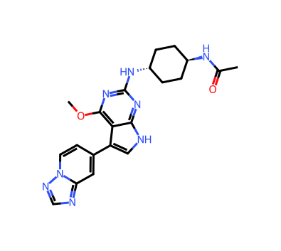 COc1nc(N[C@H]2CC[C@H](NC(C)=O)CC2)nc2[nH]cc(-c3ccn4ncnc4c3)c12